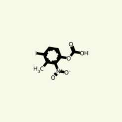 Cc1c(I)ccc(OC(=O)O)c1[N+](=O)[O-]